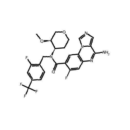 CO[C@H]1COCC[C@H]1N(Cc1ccc(C(F)(F)F)cc1F)C(=O)c1cc2c(cc1F)nc(N)c1cncn12